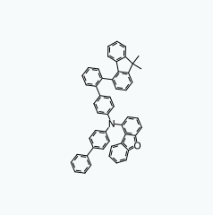 CC1(C)c2ccccc2-c2c(-c3ccccc3-c3ccc(N(c4ccc(-c5ccccc5)cc4)c4cccc5oc6ccccc6c45)cc3)cccc21